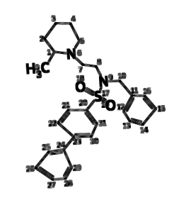 CC1CCCCN1CCN(Cc1ccccc1)S(=O)(=O)c1ccc(-c2ccccc2)cc1